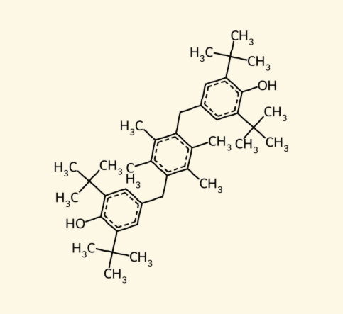 Cc1c(C)c(Cc2cc(C(C)(C)C)c(O)c(C(C)(C)C)c2)c(C)c(C)c1Cc1cc(C(C)(C)C)c(O)c(C(C)(C)C)c1